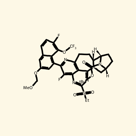 CCS(=O)(=O)c1nc2c3c(nc(-c4cc(OCOC)cc5ccc(F)c(OC(F)(F)F)c45)c(F)c3n1)CC[C@@H]1[C@@H]3CC[C@H](CN21)N3C(=O)OC(C)(C)C